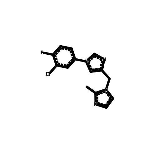 Cc1nccn1Cc1cn(-c2ccc(F)c(Cl)c2)cn1